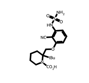 CC(C)(C)C1(COc2cccc(NS(N)(=O)=O)c2C#N)CCCCN1C(=O)O